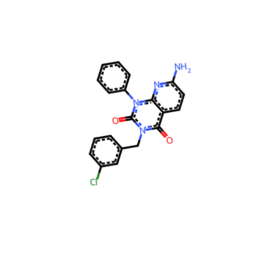 Nc1ccc2c(=O)n(Cc3cccc(Cl)c3)c(=O)n(-c3ccccc3)c2n1